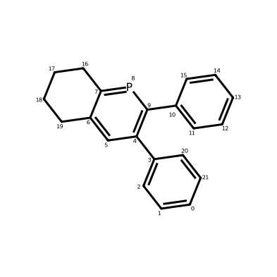 c1ccc(-c2cc3c(pc2-c2ccccc2)CCCC3)cc1